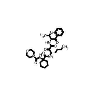 CCCC[C@H](NC(=O)C1(NC(=O)N2CCOCC2)CCCCC1)C(=O)C(=O)N[C@H](C(=O)c1ccccc1)C(C)C